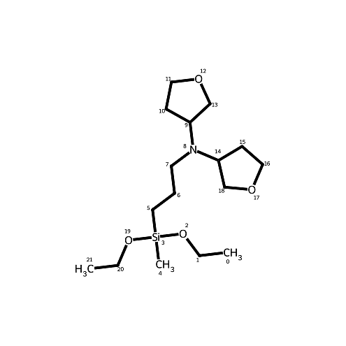 CCO[Si](C)(CCCN(C1CCOC1)C1CCOC1)OCC